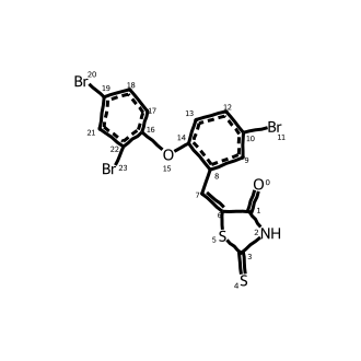 O=C1NC(=S)SC1=Cc1cc(Br)ccc1Oc1ccc(Br)cc1Br